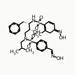 CC1=C(S(=O)(=O)N[C@@H](Cc2ccccc2)[C@H](O)CN(CC(C)C)S(=O)(=O)c2ccc(C=NO)cc2)C=CC(=NO)C1